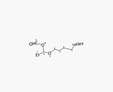 CCCCCCCCCCOC(CC)O[C]=O